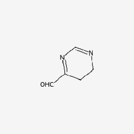 O=CC1=NC=NCC1